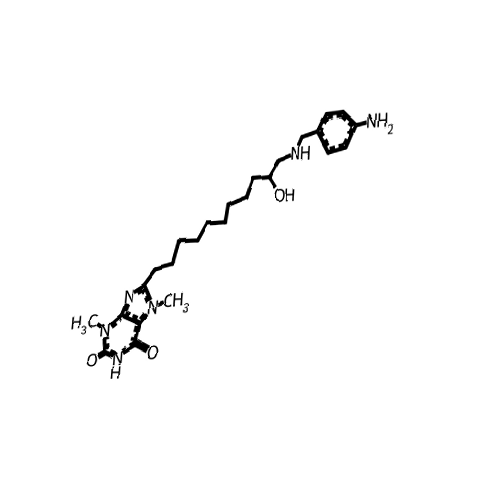 Cn1c(CCCCCCCCCC(O)CNCc2ccc(N)cc2)nc2c1c(=O)[nH]c(=O)n2C